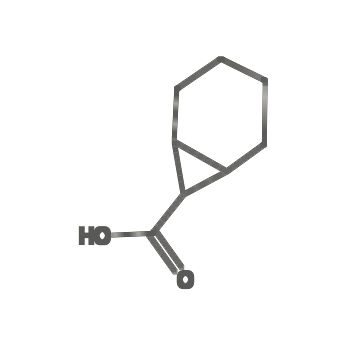 O=C(O)C1C2CCCCC21